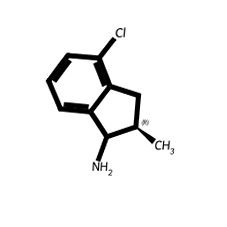 C[C@@H]1Cc2c(Cl)cccc2C1N